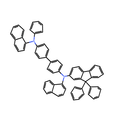 c1ccc(N(c2ccc(-c3ccc(N(c4ccc5c(c4)C(c4ccccc4)(c4ccccc4)c4ccccc4-5)c4cccc5ccccc45)cc3)cc2)c2cccc3ccccc23)cc1